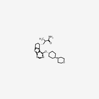 CC(C[C@H]1CCc2sc3ncnc(O[C@H]4CC[C@H](N5CCOCC5)CC4)c3c21)C(N)=O